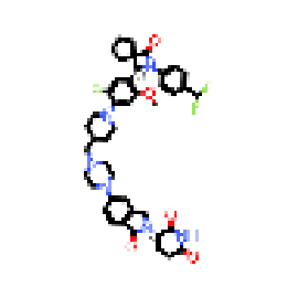 COc1cc(N2CCC(CN3CCN(c4ccc5c(c4)CN([C@H]4CCC(=O)NC4=O)C5=O)CC3)CC2)c(F)cc1[C@@H]1N(c2ccc(C(F)F)cc2)C(=O)C12CCCC2